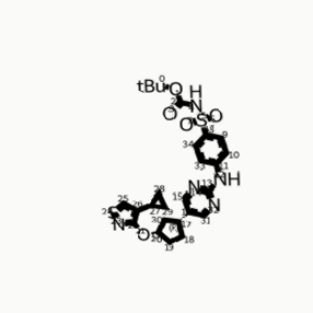 CC(C)(C)OC(=O)NS(=O)(=O)c1ccc(Nc2ncc([C@@H]3CC[C@H](Oc4nscc4C4CC4)C3)cn2)cc1